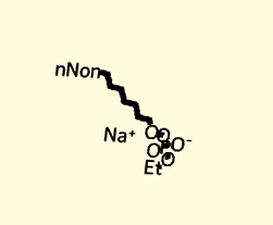 CCCCCCCCCCCCCCCCOOP(=O)([O-])OCC.[Na+]